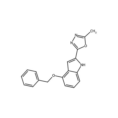 Cc1nnc(-c2cc3c(OCc4ccccc4)cccc3[nH]2)o1